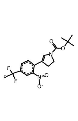 CC(C)(C)OC(=O)N1C=C(c2ccc(C(F)(F)F)cc2[N+](=O)[O-])CC1